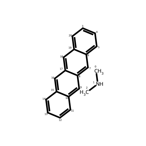 CNC.c1ccc2cc3cc4ccccc4cc3cc2c1